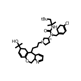 CC(C)(C)CC(C)(C)NC(=O)N(CC1=CC=C(Cl)CC1)[C@H]1CCN(CCCC2C3=C(C=CC(C(C)(C)O)C3)OCC3N=CC=CC32)C1